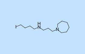 ICCCCNCCCN1CCCCCC1